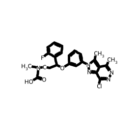 Cc1nnc(Cl)c2nn(-c3cccc(OC(CCN(C)C(=O)O)c4ccccc4F)c3)c(C)c12